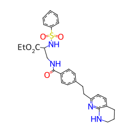 CCOC(=O)C(CNC(=O)c1ccc(CCc2ccc3c(n2)NCCC3)cc1)NS(=O)(=O)c1ccccc1